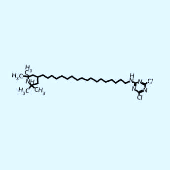 CC1(C)CC(CCCCCCCCCCCCCCCCCCNc2nc(Cl)nc(Cl)n2)CC(C)(C)N1